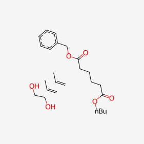 C=CC.C=CC.CCCCOC(=O)CCCCC(=O)OCc1ccccc1.OCCO